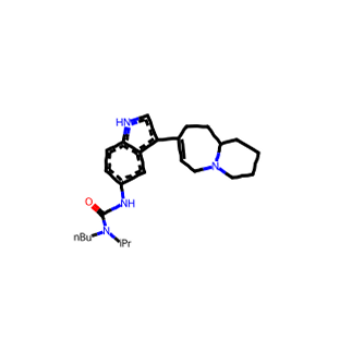 CCCCN(C(=O)Nc1ccc2[nH]cc(C3=CCN4CCCCC4CC3)c2c1)C(C)C